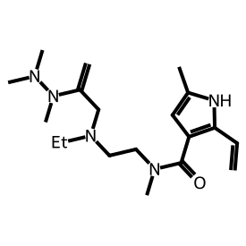 C=Cc1[nH]c(C)cc1C(=O)N(C)CCN(CC)CC(=C)N(C)N(C)C